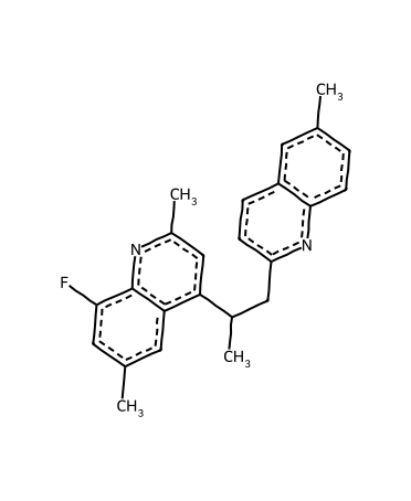 Cc1ccc2nc(CC(C)c3cc(C)nc4c(F)cc(C)cc34)ccc2c1